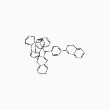 c1ccc2c(c1)-c1cccc3c1-c1cc(N(c4ccc(-c5ccc6ccccc6c5)cc4)c4ccc5ccccc5c4)ccc1-c1cccc-3c1-2